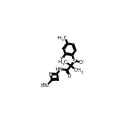 Cc1ccc([S+]([O-])C(C)(C)C(=O)NC2=BC(C(C)(C)C)=C2)c(F)c1